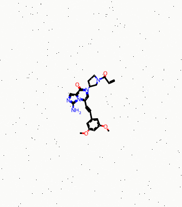 C=CC(=O)N1CC[C@H](n2cc(C#Cc3cc(OC)cc(OC)c3)n3c(N)ncc3c2=O)C1